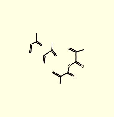 C=C(C)C(=O)OC(=O)C(=C)C.C=CC(=C)C.C=CC(=C)C